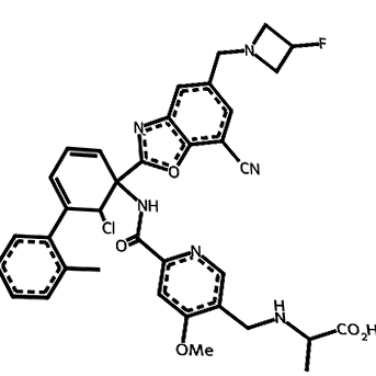 COc1cc(C(=O)NC2(c3nc4cc(CN5CC(F)C5)cc(C#N)c4o3)C=CC=C(c3ccccc3C)C2Cl)ncc1CNC(C)C(=O)O